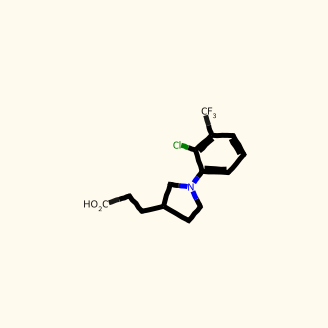 O=C(O)CCC1CCN(c2cccc(C(F)(F)F)c2Cl)C1